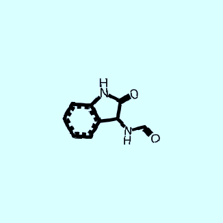 O=CNC1C(=O)Nc2ccccc21